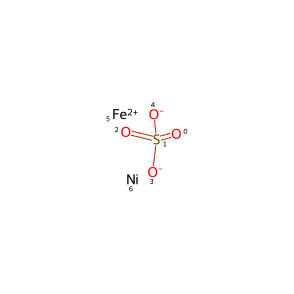 O=S(=O)([O-])[O-].[Fe+2].[Ni]